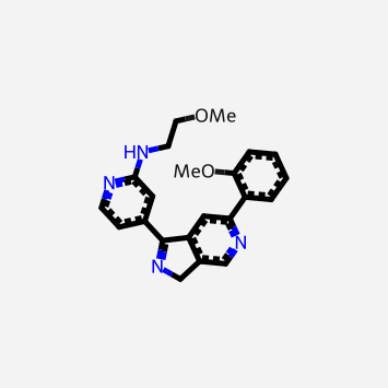 COCCNc1cc(C2=NCc3cnc(-c4ccccc4OC)cc32)ccn1